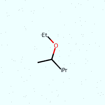 C[CH]OC(C)C(C)C